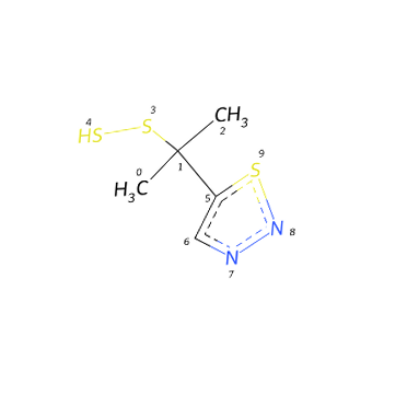 CC(C)(SS)c1cnns1